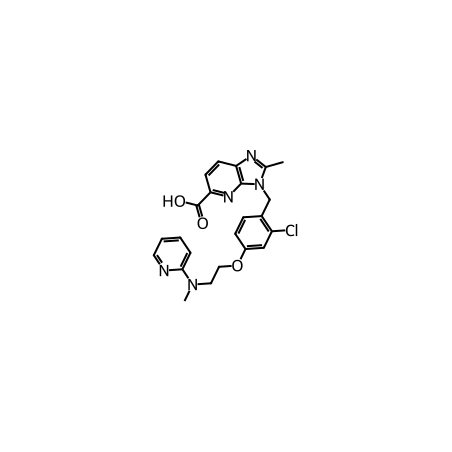 Cc1nc2ccc(C(=O)O)nc2n1Cc1ccc(OCCN(C)c2ccccn2)cc1Cl